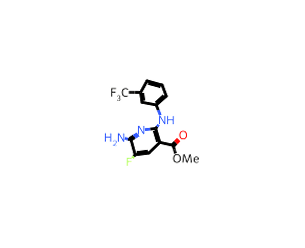 COC(=O)c1cc(F)c(N)nc1Nc1cccc(C(F)(F)F)c1